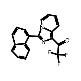 O=C(c1nc(-c2cccc3ccccc23)n2ccccc12)C(F)(F)F